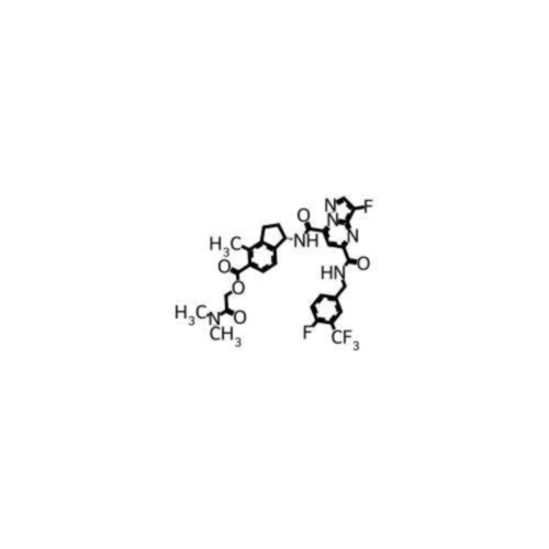 Cc1c(C(=O)OCC(=O)N(C)C)ccc2c1CC[C@@H]2NC(=O)c1cc(C(=O)NCc2ccc(F)c(C(F)(F)F)c2)nc2c(F)cnn12